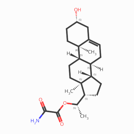 C[C@H](OC(=O)C(N)=O)[C@H]1CC[C@H]2[C@@H]3CC=C4C[C@@H](O)CC[C@]4(C)[C@H]3CC[C@]12C